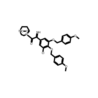 COc1ccc(COc2cc(C(=N)C(=O)N3CCN4CCC3CC4)cc(Cl)c2OCc2ccc(OC)cc2)cc1